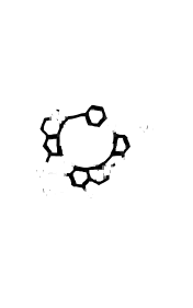 COc1cc(Cl)c2cc1Oc1ccc(cc1)C[C@H]1c3cc(c(C)cc3CCN1C)Oc1c(OC)c(OC)c(Br)c3c1[C@H](C2)N(C)CC3